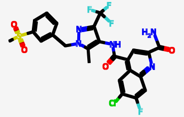 Cc1c(NC(=O)c2cc(C(N)=O)nc3cc(F)c(Cl)cc23)c(C(F)(F)F)nn1Cc1cccc(S(C)(=O)=O)c1